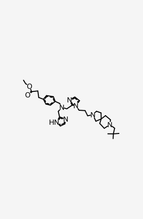 CCOC(=O)CCc1ccc(CN(Cc2ncc[nH]2)Cc2nccn2CCCN2CCC3(CCN(CC(C)(C)C)CC3)C2)cc1